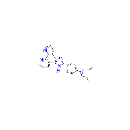 C=CCN(CC=C)c1ccc(-c2nc3c4cccnc4c4ncccc4c3[nH]2)cc1